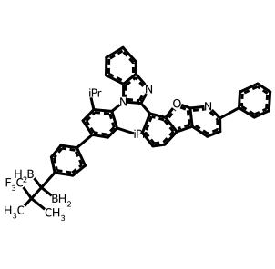 BC(B)(c1ccc(-c2cc(C(C)C)c(-n3c(-c4cccc5c4oc4nc(-c6ccccc6)ccc45)nc4ccccc43)c(C(C)C)c2)cc1)C(C)(C)C(F)(F)F